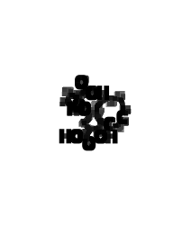 O=C(O)c1cc(O)c2c(c1O)CCCCCCCC2.O=C(O)c1ccco1